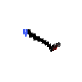 CCO[Si](C)(C)CCCCCCCCCCCCCCN